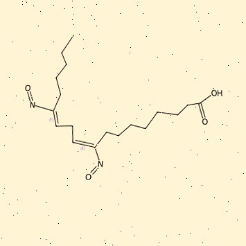 CCCCC/C(=C\C/C=C(\CCCCCCCC(=O)O)N=O)N=O